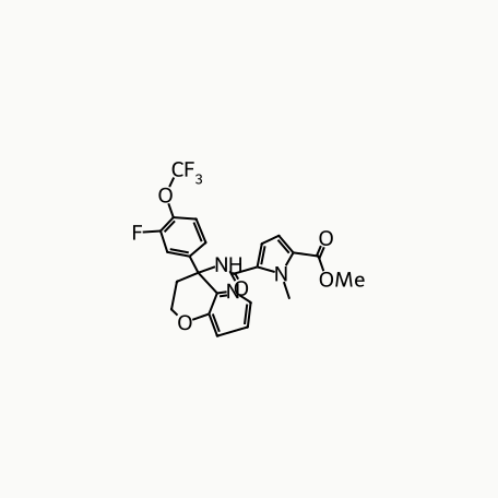 COC(=O)c1ccc(C(=O)NC2(c3ccc(OC(F)(F)F)c(F)c3)CCOc3cccnc32)n1C